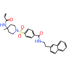 C=CC(=O)NC1(C)CCN(S(=O)(=O)c2ccc(C(=O)NCCc3ccc4ccccc4c3)cc2)CC1